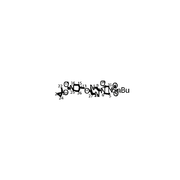 CCCCS(=O)(=O)N1CCN(c2cnc(OCC3CCN(C(=O)OC4(C)CC4)CC3)cn2)C(=O)C1